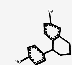 Oc1ccc(C2CCCc3cc(O)ccc32)cc1